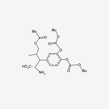 CCC(C)OC(=O)Oc1ccc(C(C(C)COC(=O)C(C)CC)[C@H](N)C(=O)O)cc1OC(=O)OC(C)CC